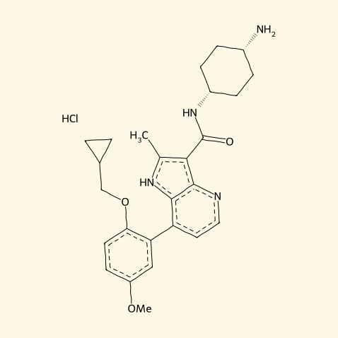 COc1ccc(OCC2CC2)c(-c2ccnc3c(C(=O)N[C@H]4CC[C@@H](N)CC4)c(C)[nH]c23)c1.Cl